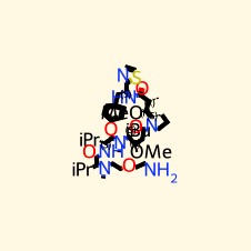 CC[C@H](C)C([C@@H](CC(=O)N1CCC[C@H]1[C@H](OC)[C@@H](C)C(=O)N[C@@H](Cc1ccccc1)c1nccs1)OC)N(C)C(=O)[C@@H](NC(=O)C(C(C)C)N(C)CCOCCN)C(C)C